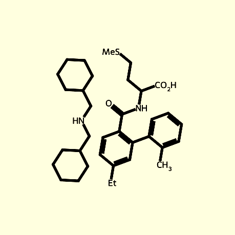 C1CCC(CNCC2CCCCC2)CC1.CCc1ccc(C(=O)NC(CCSC)C(=O)O)c(-c2ccccc2C)c1